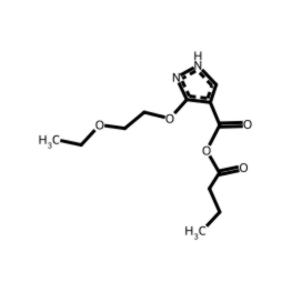 CCCC(=O)OC(=O)c1c[nH]nc1OCCOCC